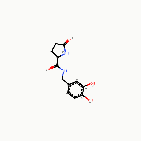 O=C1CCC(C(=O)NCc2ccc(O)c(O)c2)N1